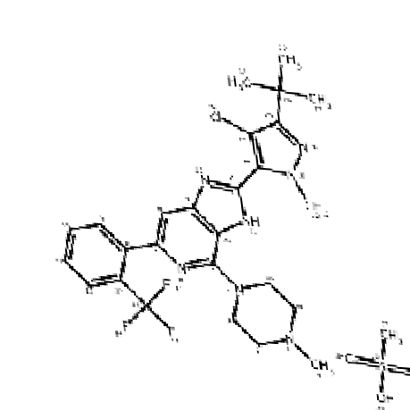 CN1CCN(c2nc(-c3ccccc3C(F)(F)F)cc3nc(-c4c(Cl)c(C(C)(C)C)nn4C)[nH]c23)CC1.CS(=O)(=O)O